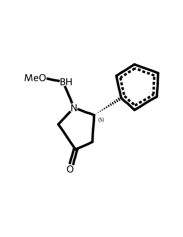 COBN1CC(=O)C[C@H]1c1ccccc1